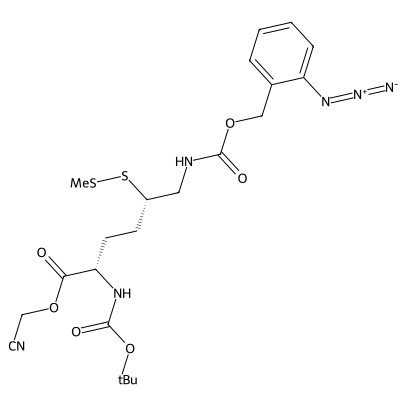 CSS[C@@H](CC[C@H](NC(=O)OC(C)(C)C)C(=O)OCC#N)CNC(=O)OCc1ccccc1N=[N+]=[N-]